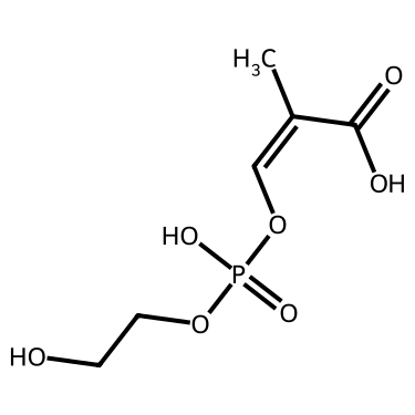 CC(=COP(=O)(O)OCCO)C(=O)O